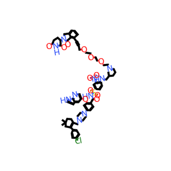 CC1(C)CCC(CN2CCN(c3ccc(C(=O)NS(=O)(=O)c4ccc(NCC5CCCN(CCOCCOCCOCC#Cc6cccc7c6C(=O)N(C6CCC(=O)NC6=O)C7)C5)c([N+](=O)[O-])c4)c(Oc4cnc5[nH]ccc5c4)c3)CC2)=C(c2ccc(Cl)cc2)C1